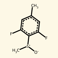 Cc1cc(F)c([S+](C)[O-])c(F)c1